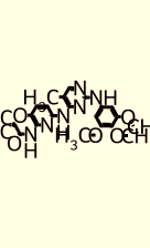 COc1cc(Nc2ncc(C)c(Nc3ccc4c(n3)NC(=O)C(C)(C)O4)n2)cc(OC)c1OC